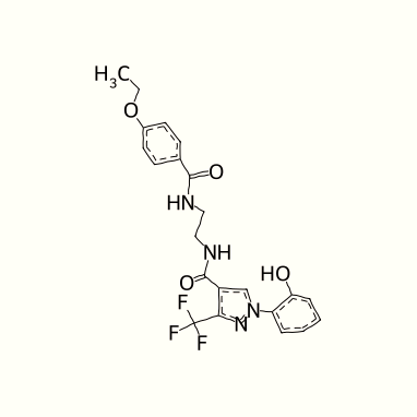 CCOc1ccc(C(=O)NCCNC(=O)c2cn(-c3ccccc3O)nc2C(F)(F)F)cc1